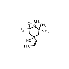 C/C=C\C1(O)CC(C)(C)N(C)C(C)(C)C1